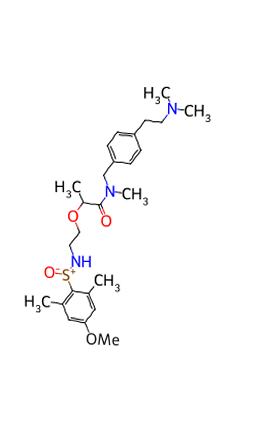 COc1cc(C)c([S+]([O-])NCCOC(C)C(=O)N(C)Cc2ccc(CCN(C)C)cc2)c(C)c1